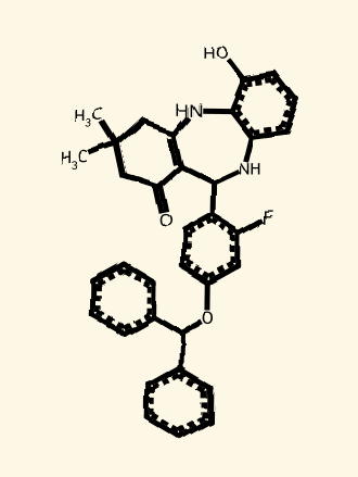 CC1(C)CC(=O)C2=C(C1)Nc1c(O)cccc1NC2c1ccc(OC(c2ccccc2)c2ccccc2)cc1F